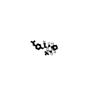 CC(C)=Cc1ccc(C[C@@H](C#N)NC(=O)[C@@H]2[C@H]3CC[C@H](C3)N2C(=O)OC(C)(C)C)cc1